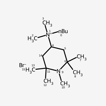 CCCC[N+](C)(C)C1CC(C)(C)N(C)C(C)(C)C1.[Br-]